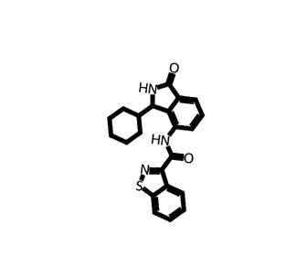 O=C1NC(C2CCCCC2)c2c(NC(=O)c3nsc4ccccc34)cccc21